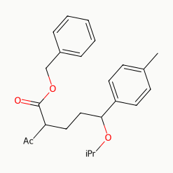 CC(=O)C(CCC(OC(C)C)c1ccc(C)cc1)C(=O)OCc1ccccc1